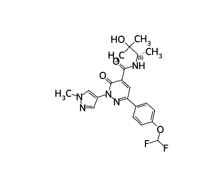 C[C@H](NC(=O)c1cc(-c2ccc(OC(F)F)cc2)nn(-c2cnn(C)c2)c1=O)C(C)(C)O